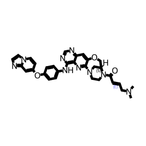 CN(C)C/C=C/C(=O)N1CCN2C[C@H]1COc1cc3ncnc(Nc4ccc(Oc5ccn6ccnc6c5)cc4)c3nc12